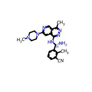 Cc1c(C#N)cccc1[C@@H](N)Nc1nnc(C)c2cnc(N3CCN(C)CC3)cc12